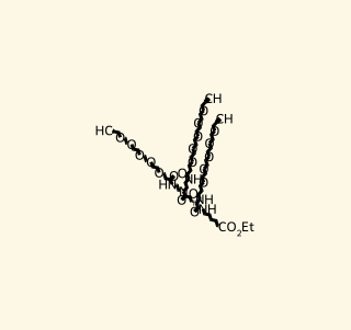 C#CCOCCOCCOCCOCCOCCC(=O)NCCN(CCNC(=O)CCOCCOCCOCCOCCOCC#C)C(=O)CC[C@H](NC(=O)CCOCCOCCOCCOCCOCC#C)C(=O)NCCCCCC(=O)OCC